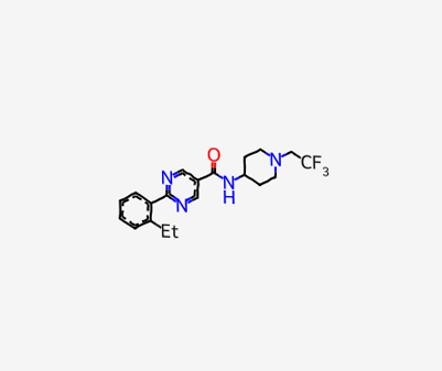 CCc1ccccc1-c1ncc(C(=O)NC2CCN(CC(F)(F)F)CC2)cn1